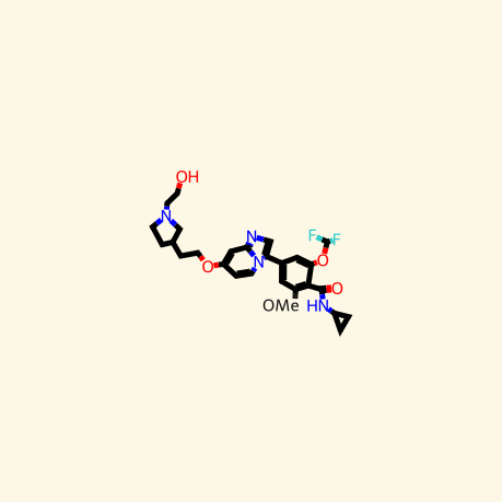 COc1cc(-c2cnc3cc(OCCC4CCN(CCO)C4)ccn23)cc(OC(F)F)c1C(=O)NC1CC1